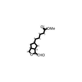 COC(=O)CCCCC1CC2COC(C=O)C2C1